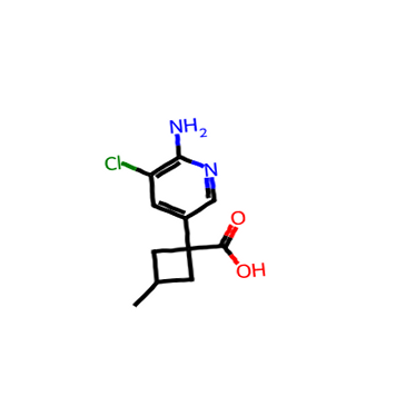 CC1CC(C(=O)O)(c2cnc(N)c(Cl)c2)C1